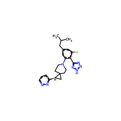 CC(C)Cc1cc(F)c(-c2nn[nH]n2)c(N2CCC3(CC2)C[C@H]3c2cccnn2)c1